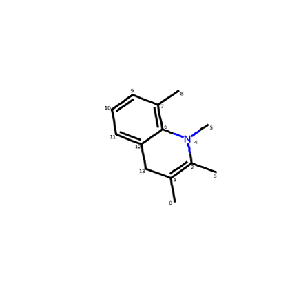 CC1=C(C)N(C)c2c(C)cccc2C1